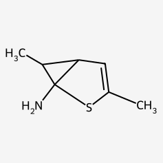 CC1=CC2C(C)C2(N)S1